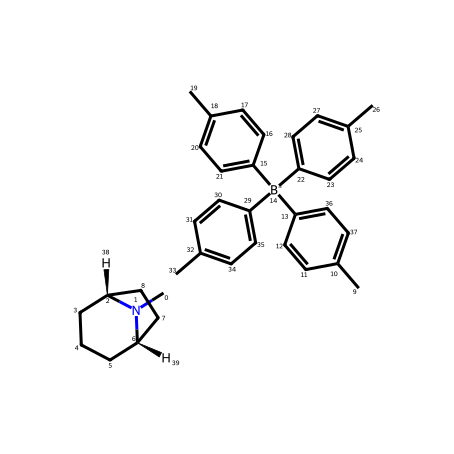 CN1[C@@H]2CCC[C@H]1CC2.Cc1ccc([B-](c2ccc(C)cc2)(c2ccc(C)cc2)c2ccc(C)cc2)cc1